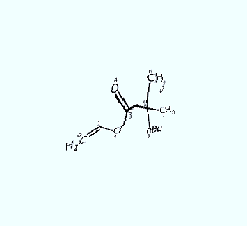 C=COC(=O)C(C)(C)CCCC